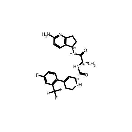 C[C@H](NC(=O)[C@H]1C=C(c2ccc(F)cc2C(F)(F)F)CCN1)C(=O)N[C@@H]1CCc2nc(N)ccc21